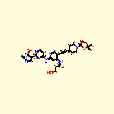 C[C@@H](CCO)Nc1cc(Nc2ccnc(-c3cnn(C)c3O)n2)ncc1C#CC1CCN(C(=O)OC(C)(C)C)CC1